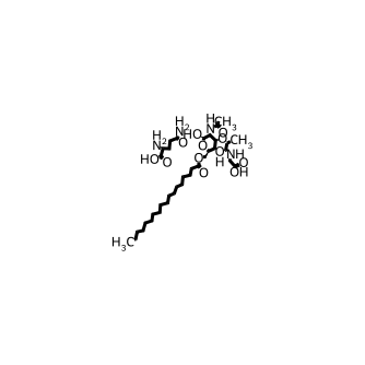 CCCCCCCCCCCCCCCCCC(=O)OC[C@H]1O[C@H](O)[C@H](NC(C)=O)[C@@H](OC(C)CNCC(=O)O)[C@@H]1O.NC(=O)CC[C@@H](N)C(=O)O